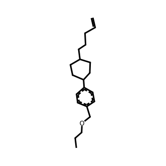 C=CCCCC1CCC(c2ccc(COCCC)cc2)CC1